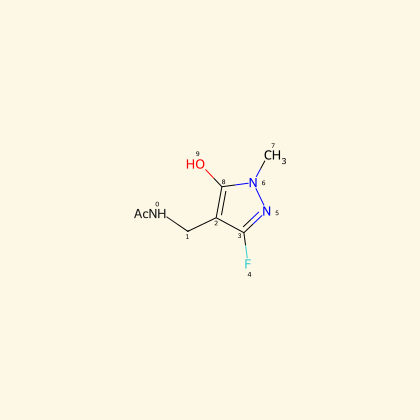 CC(=O)NCc1c(F)nn(C)c1O